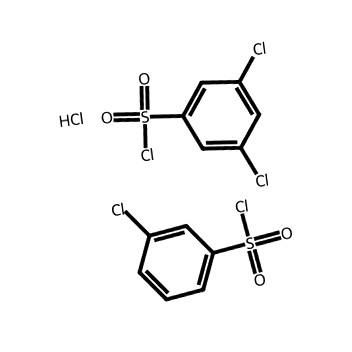 Cl.O=S(=O)(Cl)c1cc(Cl)cc(Cl)c1.O=S(=O)(Cl)c1cccc(Cl)c1